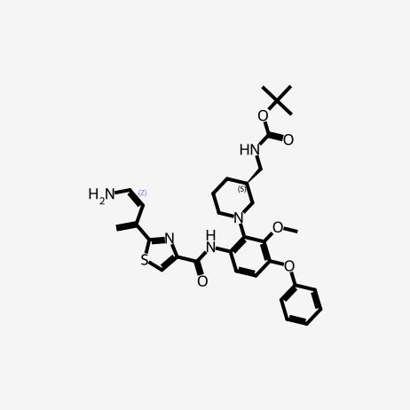 C=C(/C=C\N)c1nc(C(=O)Nc2ccc(Oc3ccccc3)c(OC)c2N2CCC[C@@H](CNC(=O)OC(C)(C)C)C2)cs1